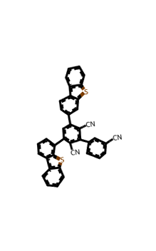 N#Cc1cccc(-c2c(C#N)c(-c3ccc4c(c3)sc3ccccc34)cc(-c3cccc4c3sc3ccccc34)c2C#N)c1